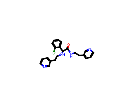 O=C(NCCc1cccnc1)C(NCCc1cccnc1)c1ccccc1Br